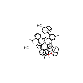 Cc1cc(N2CCN(c3c(C(C)C)cccc3C(C)C)[CH]2[Zr][CH]2N(c3cc(C)cc(C45CC6CC(CC(C6)C4)C5)c3O)CCN2c2c(C(C)C)cccc2C(C)C)c(O)c(C23CC4CC(CC(C4)C2)C3)c1.Cl.Cl